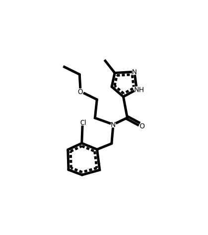 CCOCCN(Cc1ccccc1Cl)C(=O)c1cc(C)n[nH]1